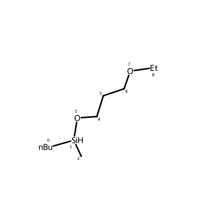 CCCC[SiH](C)OCCCOCC